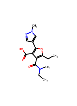 CCc1oc(-c2cnn(C)c2)c(C(=O)O)c1C(=O)N(C)CC